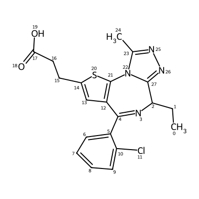 CCC1N=C(c2ccccc2Cl)c2cc(CCC(=O)O)sc2-n2c(C)nnc21